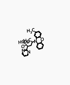 Cc1ccc2c(c1)N(C(C)CC(c1ncccn1)S(=O)(=O)O)c1ccccc1O2